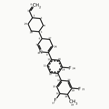 C=CC1CCC(C2C=NC(c3ccc(C4=CC(F)C(C)C(F)=C4)c(F)c3)=CC2)CC1